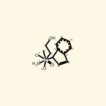 [CH3][Zr](=[O])([SiH3])([Cl])([Cl])([CH2]CO)[CH]1C=Cc2ccccc21